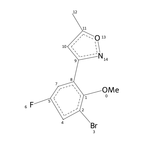 COc1c(Br)cc(F)cc1-c1cc(C)on1